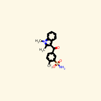 Cc1c(C(=O)c2ccc(C(F)(F)F)c(S(N)(=O)=O)c2)c2ccccc2n1C